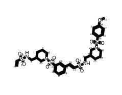 C=CS(=O)(=O)NCC1CCCN(S(=O)(=O)c2cccc(/C=C/S(=O)(=O)NCC3CCCN(S(=O)(=O)c4ccc(OC)cc4)C3)c2)C1